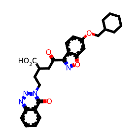 O=C(CC(CCn1nnc2ccccc2c1=O)C(=O)O)c1noc2cc(OCC3CCCCC3)ccc12